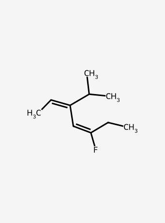 C/C=C(\C=C(\F)CC)C(C)C